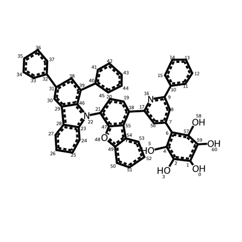 Oc1c(O)c(O)c(-c2cc(-c3ccccc3)nc(-c3ccc(-n4c5ccccc5c5cc(-c6ccccc6)cc(-c6ccccc6)c54)c4oc5ccccc5c34)c2)c(O)c1O